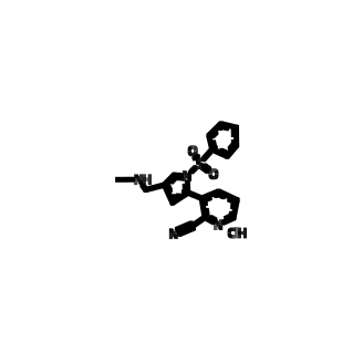 CNCc1cc(-c2cccnc2C#N)n(S(=O)(=O)c2ccccc2)c1.Cl